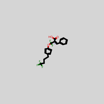 O=C(O)/C(=C\c1ccccc1)C(F)(F)Oc1ccc(CCCC(F)(F)F)cc1